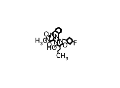 CCCc1c(O)n2c3c(=O)n(C)c(=O)n(Cc4ccccc4)c3nc2n(Cc2ccc(F)cc2)c1=O